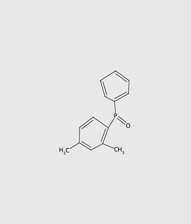 Cc1ccc([P](=O)c2ccccc2)c(C)c1